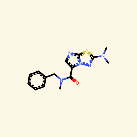 CN(Cc1ccccc1)C(=O)c1cnc2sc(N(C)C)nn12